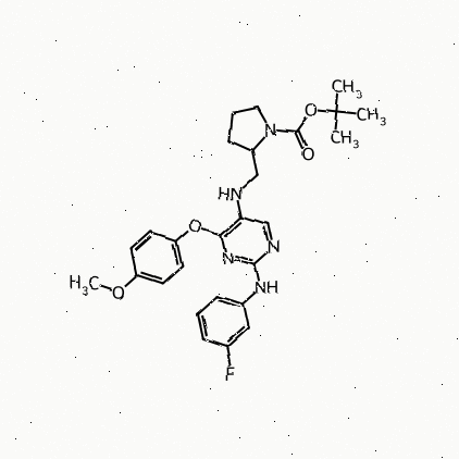 COc1ccc(Oc2nc(Nc3cccc(F)c3)ncc2NCC2CCCN2C(=O)OC(C)(C)C)cc1